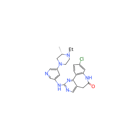 CCN1CCN(c2cncc(Nc3ncc4c(n3)-c3ccc(Cl)cc3NC(=O)C4)c2)C[C@@H]1C